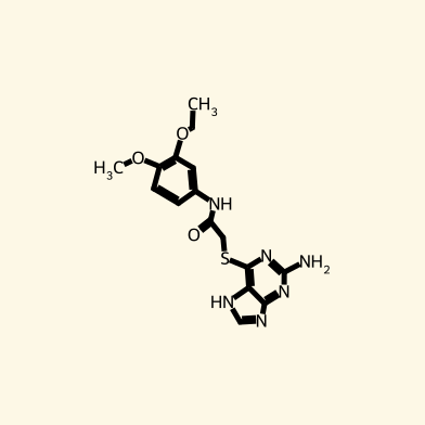 CCOc1cc(NC(=O)CSc2nc(N)nc3nc[nH]c23)ccc1OC